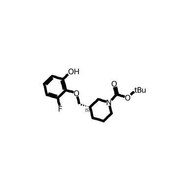 CC(C)(C)OC(=O)N1CCC[C@H](COc2c(O)cccc2F)C1